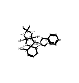 COCO[C@H]1CC=CC(O)C12O[C@@H]1OC(C)(C)O[C@@H]1[C@H]2OCc1ccccc1